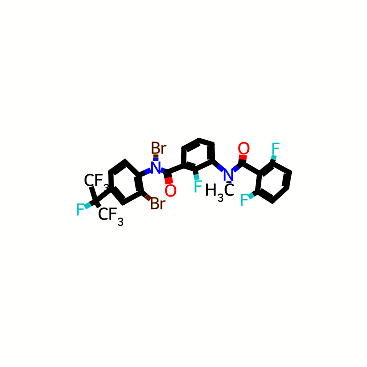 CN(C(=O)c1c(F)cccc1F)c1cccc(C(=O)N(Br)c2ccc(C(F)(C(F)(F)F)C(F)(F)F)cc2Br)c1F